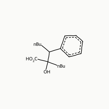 CCCCC(c1ccccc1)C(O)(CCCC)C(=O)O